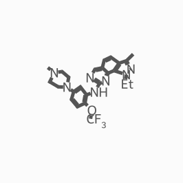 CCn1nc(C)c2ccc3cnc(Nc4cc(N5CCN(C)CC5)ccc4OC(F)(F)F)nc3c21